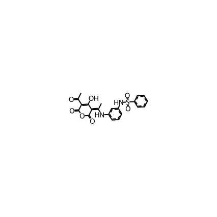 CC(=O)C1=C(O)/C(=C(\C)Nc2cccc(NS(=O)(=O)c3ccccc3)c2)C(=O)OC1=O